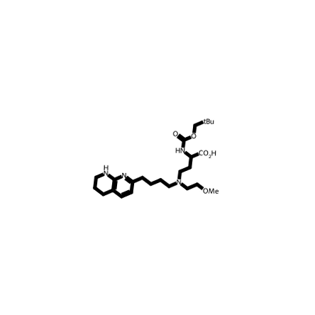 COCCN(CCCCc1ccc2c(n1)NCCC2)CCC(NC(=O)OCC(C)(C)C)C(=O)O